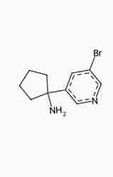 NC1(c2cncc(Br)c2)CCCC1